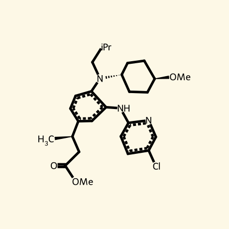 COC(=O)C[C@@H](C)c1ccc(N(CC(C)C)[C@H]2CC[C@H](OC)CC2)c(Nc2ccc(Cl)cn2)c1